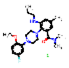 CCCNc1cc(C)cc(C(=O)N(C)C)c1N1CCN(c2cc(F)ccc2OC)CC1.Cl